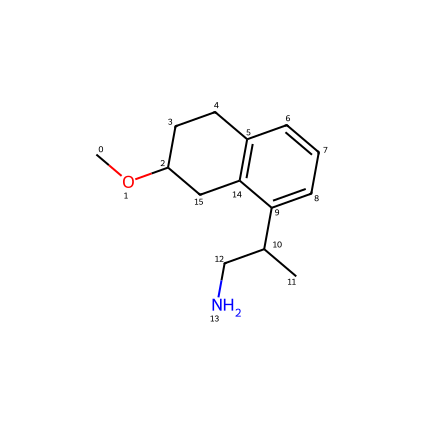 COC1CCc2cccc(C(C)CN)c2C1